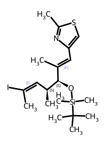 C/C(I)=C\[C@H](C)[C@H](O[Si](C)(C)C(C)(C)C)/C(C)=C/c1csc(C)n1